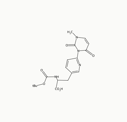 Cn1ccc(=O)n(-c2ccc(CC(NC(=O)OC(C)(C)C)C(=O)O)cn2)c1=O